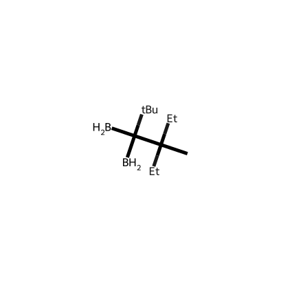 BC(B)(C(C)(C)C)C(C)(CC)CC